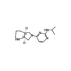 CC(C)Nc1nccc(N2C[C@@H]3CCCN[C@@H]3C2)n1